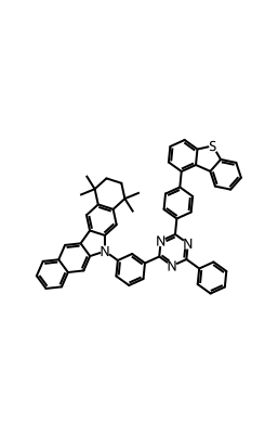 CC1(C)CCC(C)(C)c2cc3c(cc21)c1cc2ccccc2cc1n3-c1cccc(-c2nc(-c3ccccc3)nc(-c3ccc(-c4cccc5sc6ccccc6c45)cc3)n2)c1